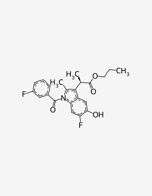 CCCOC(=O)[C@H](C)c1c(C)n(C(=O)c2cccc(F)c2)c2cc(F)c(O)cc12